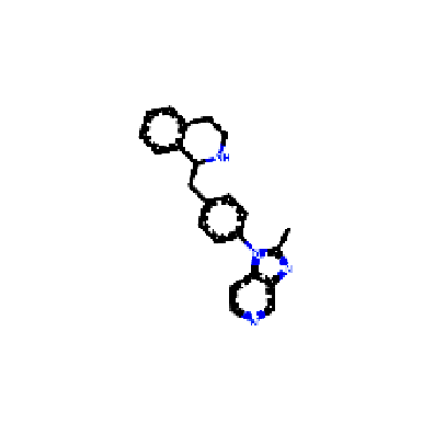 Cc1nc2cnccc2n1-c1ccc(CC2NCCc3ccccc32)cc1